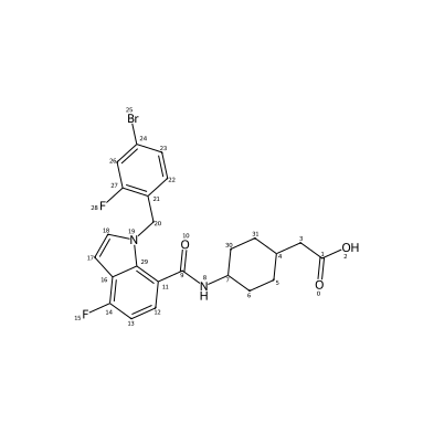 O=C(O)CC1CCC(NC(=O)c2ccc(F)c3ccn(Cc4ccc(Br)cc4F)c23)CC1